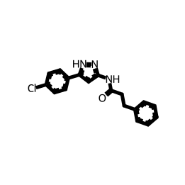 O=C(CCc1ccccc1)Nc1cc(-c2ccc(Cl)cc2)[nH]n1